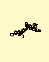 CC(C)[C@@H](CN1C(=O)S/C(=C\c2ccc3c(cnn3Cc3ccc(Cl)cc3C(F)(F)F)c2)C1=O)NC(=O)OC(C)(C)C